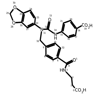 O=C(O)CCNC(=O)c1ccc(CN(C(=O)Nc2ccc(C(=O)O)cc2)c2ccc3c(c2)OCO3)cc1